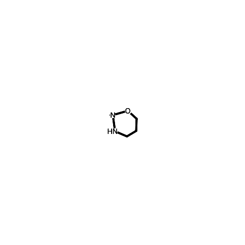 C1CN[N]OC1